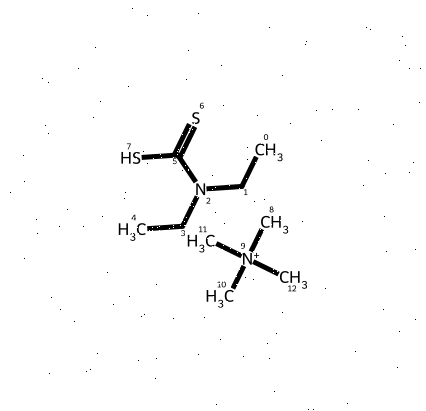 CCN(CC)C(=S)S.C[N+](C)(C)C